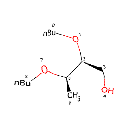 CCCCO[C@@H](CO)[C@@H](C)OCCCC